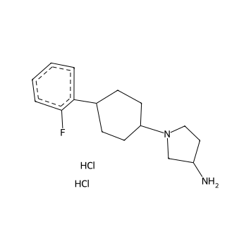 Cl.Cl.NC1CCN(C2CCC(c3ccccc3F)CC2)C1